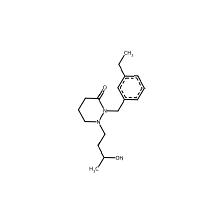 CCc1cccc(CN2C(=O)CCCN2CCC(C)O)c1